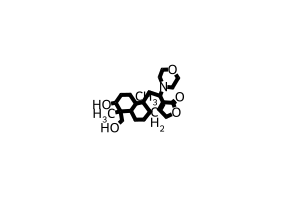 C=C1CCC2C(C)(CO)C(O)CCC2(C)C1CC(C1=CCOC1=O)N1CCOCC1